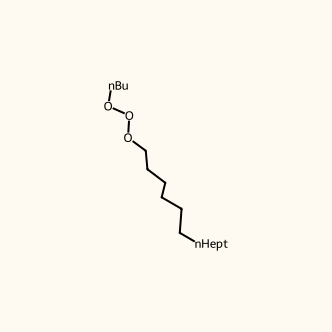 CCCCCCCCCCCCCOOOCCCC